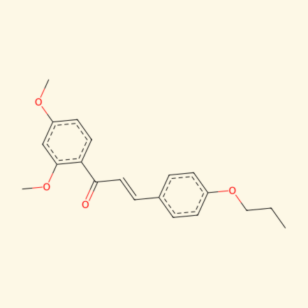 CCCOc1ccc(C=CC(=O)c2ccc(OC)cc2OC)cc1